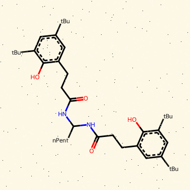 CCCCCC(NC(=O)CCc1cc(C(C)(C)C)cc(C(C)(C)C)c1O)NC(=O)CCc1cc(C(C)(C)C)cc(C(C)(C)C)c1O